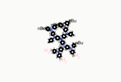 Bc1ccc(N(c2ccc(B)cc2)c2ccc(N(c3ccc(N(c4ccc(B)cc4)c4ccc(CCCC)cc4)cc3)c3ccc(N(c4ccc(N(c5ccc(C)cc5)c5ccc(N(c6ccc(CCCC)cc6)c6ccc(CCCC)cc6)cc5)cc4)c4ccc(N(c5ccc(C)cc5)c5ccc(N(c6ccc(CCCC)cc6)c6ccc(CCCC)cc6)cc5)cc4)cc3)cc2)cc1